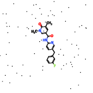 Cc1cc(C(=O)Nc2ccc(Cc3cccc(F)c3)cn2)cn(C)c1=O